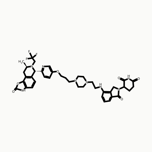 C[C@@H]1Cc2c(ccc3[nH]c(=O)oc23)[C@@H](c2ccc(OCCCN3CCN(CCNc4cccc5c4CN(C4CCC(=O)NC4=O)C5=O)CC3)cn2)N1CC(F)(F)F